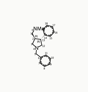 CNC[C@@H]1CN(Cc2ccccc2)C[C@H]1c1ccccc1